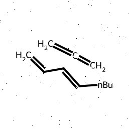 C=C=C.C=CC=CCCCC